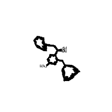 CCC(C)[C](Cc1ccccc1)c1ccc(C(C)(C)C)cc1Cc1ccccc1